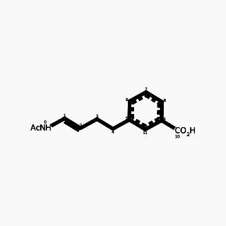 CC(=O)NC=CCCc1cccc(C(=O)O)c1